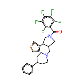 O=C(c1c(F)c(F)c(F)c(F)c1F)N1CC(CN2CCC(c3ccccc3)CC2)C(c2ccsc2)C1